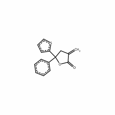 C=C1CC(c2ccccc2)(c2cccs2)OC1=O